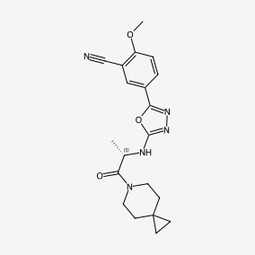 COc1ccc(-c2nnc(N[C@@H](C)C(=O)N3CCC4(CC3)CC4)o2)cc1C#N